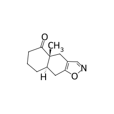 C[C@@]12Cc3cnoc3C[C@H]1CCCC2=O